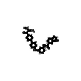 CN(C)C(=O)c1ccc(-c2ccc(Nc3cncc(NC(=O)c4ccc5cc[nH]c5c4)c3)nc2)cc1